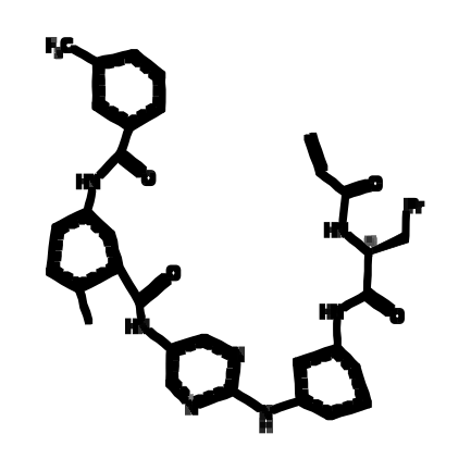 C=CC(=O)N[C@@H](CC(C)C)C(=O)Nc1cccc(Nc2ncc(NC(=O)c3cc(NC(=O)c4cccc(C(F)(F)F)c4)ccc3C)cn2)c1